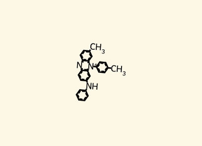 Cc1ccc(-[n+]2c3cc(C)ccc3nc3ccc(Nc4ccccc4)cc32)cc1